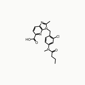 CCCC(=O)N(C)c1ccc(Cn2c(C)nc3ccc(C(=O)O)nc32)c(Cl)c1